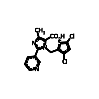 Cc1nc(-c2cccnc2)n(Cc2sc(Cl)cc2Cl)c1C(=O)O